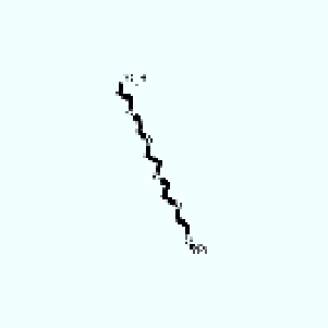 CCCOCCOCCOCCOCCOCCC(=O)O